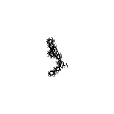 c1ccc(-c2ccc(Nc3ccc(-c4cccc(-c5cccc6c5oc5cc7ccccc7cc56)c4)cc3)cc2)cc1